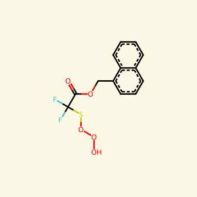 O=C(OCc1cccc2ccccc12)C(F)(F)SOOO